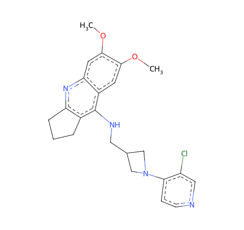 COc1cc2nc3c(c(NCC4CN(c5ccncc5Cl)C4)c2cc1OC)CCC3